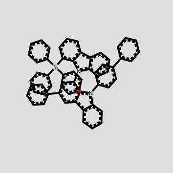 c1ccc(-c2ccc(-n3c4ccccc4c4cc(-c5ccccc5)cc(-n5c6ccccc6c6cccc([Si](c7ccccc7)(c7ccccc7)c7ccccc7)c65)c43)cc2)cc1